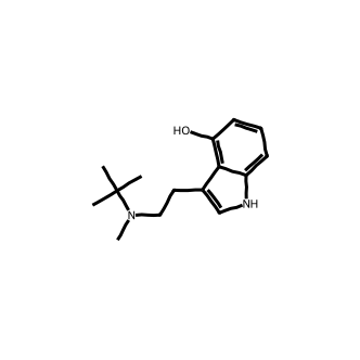 CN(CCc1c[nH]c2cccc(O)c12)C(C)(C)C